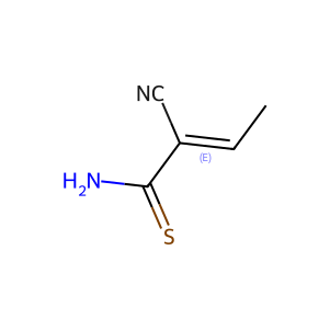 C/C=C(\C#N)C(N)=S